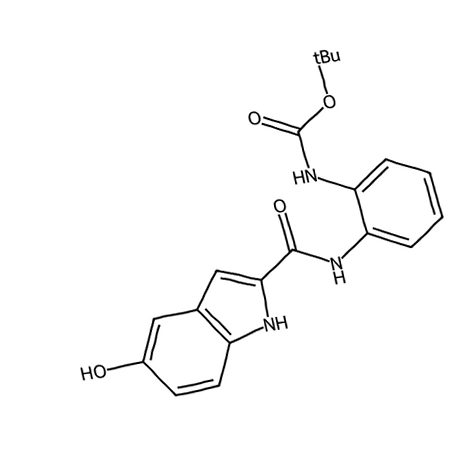 CC(C)(C)OC(=O)Nc1ccccc1NC(=O)c1cc2cc(O)ccc2[nH]1